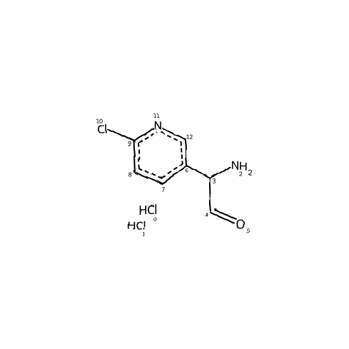 Cl.Cl.NC(C=O)c1ccc(Cl)nc1